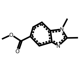 COC(=O)c1ccc2c(c1)nc(C)n2C